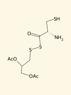 CC(=O)OCC(CSSC(=O)[C@@H](N)CS)OC(C)=O